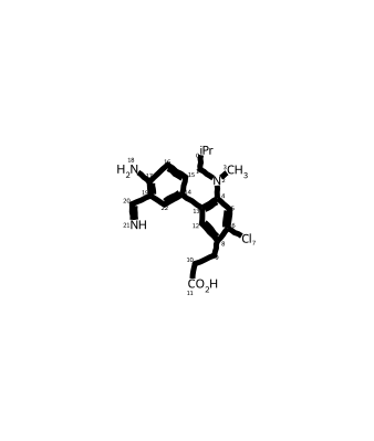 CC(C)CN(C)c1cc(Cl)c(CCC(=O)O)cc1-c1ccc(N)c(C=N)c1